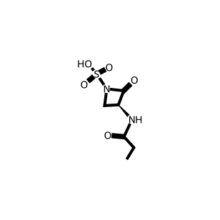 CCC(=O)N[C@H]1CN(S(=O)(=O)O)C1=O